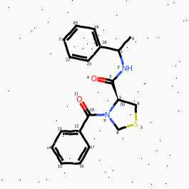 CC(NC(=O)[C@H]1CSCN1C(=O)c1ccccc1)c1ccccc1